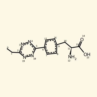 CCc1nnc(-c2ccc(C[C@H](N)C(=O)O)cc2)nn1